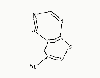 N#Cc1csc2ncn[c]c12